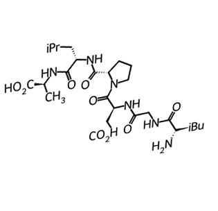 CC[C@H](C)[C@H](N)C(=O)NCC(=O)N[C@@H](CC(=O)O)C(=O)N1CCC[C@H]1C(=O)N[C@@H](CC(C)C)C(=O)N[C@@H](C)C(=O)O